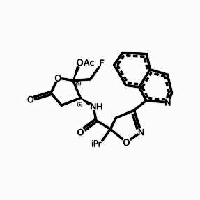 CC(=O)O[C@]1(CF)OC(=O)C[C@@H]1NC(=O)C1(C(C)C)CC(c2nccc3ccccc23)=NO1